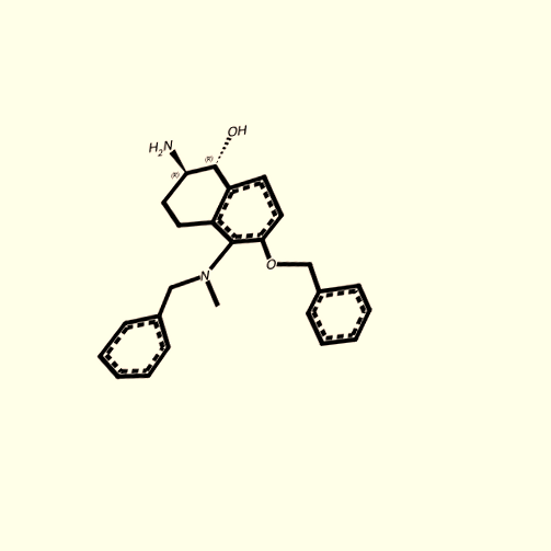 CN(Cc1ccccc1)c1c(OCc2ccccc2)ccc2c1CC[C@@H](N)[C@@H]2O